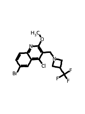 COc1nc2ccc(Br)cc2c(Cl)c1CN1CC(C(F)(F)F)C1